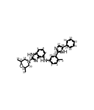 Cc1ccc(Nc2cccc3[nH]c(N4CC(C)OC(C)C4)nc23)cc1-c1ncc(-c2ccccc2)[nH]1